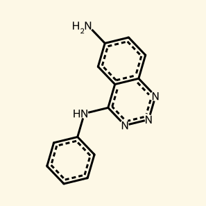 Nc1ccc2nnnc(Nc3ccccc3)c2c1